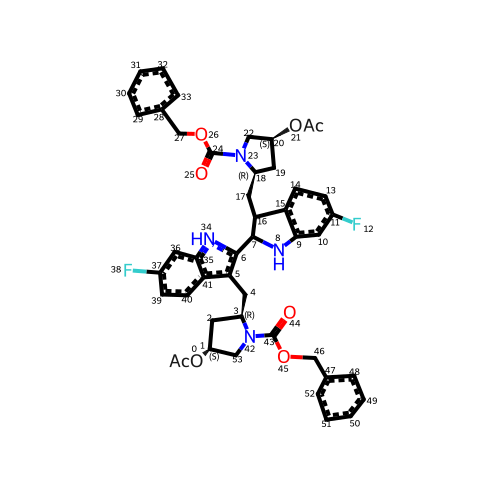 CC(=O)O[C@H]1C[C@@H](Cc2c(C3Nc4cc(F)ccc4C3C[C@@H]3C[C@H](OC(C)=O)CN3C(=O)OCc3ccccc3)[nH]c3cc(F)ccc23)N(C(=O)OCc2ccccc2)C1